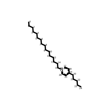 CCCCCCCCCCCCCCCC[n+]1ccc(CCCCC)cc1